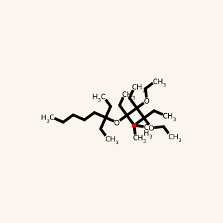 CCCCCC(CC)(CC)OC(CC)(CC)C(CC)(OCC)C(CC)(CC)OCC